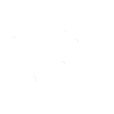 COc1cccc2c1OCC[C@]21CNC[C@H]1C(=O)N1CC[C@@H](c2ccccc2)C[C@H]1c1nc(C)no1